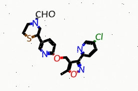 Cc1onc(-c2ccc(Cl)cn2)c1COc1ccc(C2CN(C=O)CCS2)cn1